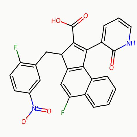 O=C(O)C1=C(c2ccc[nH]c2=O)c2c(cc(F)c3ccccc23)C1Cc1cc([N+](=O)[O-])ccc1F